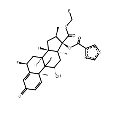 C[C@@H]1C[C@H]2[C@@H]3C[C@H](F)C4=CC(=O)C=C[C@]4(C)C3(F)[C@@H](O)C[C@]2(C)[C@@]1(OC(=O)c1cscn1)C(=O)SCF